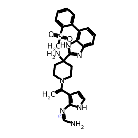 C=C(c1cc[nH]c1/N=C\N)N1CCC(N)(c2nc3cccc(-c4ccccc4S(C)(=O)=O)c3[nH]2)CC1